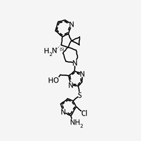 Nc1nccc(Sc2cnc(N3CCC4(CC3)[C@H](N)c3cccnc3C43CC3)c(CO)n2)c1Cl